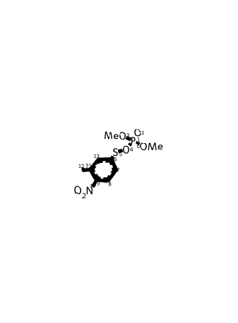 COP(=O)(OC)OSc1ccc([N+](=O)[O-])c(C)c1